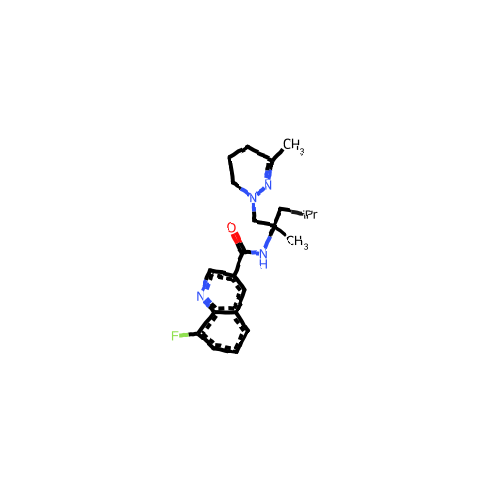 CC1=NN(CC(C)(CC(C)C)NC(=O)c2cnc3c(F)cccc3c2)CCC1